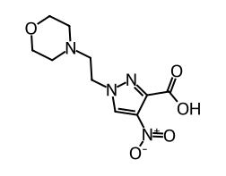 O=C(O)c1nn(CCN2CCOCC2)cc1[N+](=O)[O-]